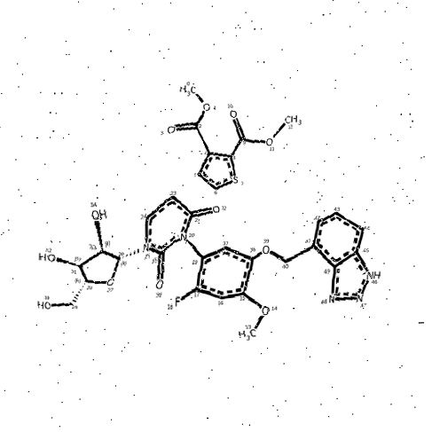 COC(=O)c1ccsc1C(=O)OC.COc1cc(F)c(-n2c(=O)ccn([C@@H]3O[C@H](CO)[C@@H](O)[C@H]3O)c2=O)cc1OCc1cccc2[nH]nnc12